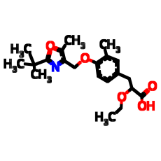 CCOC(Cc1ccc(OCc2nc(C(C)(C)C)oc2C)c(C)c1)C(=O)O